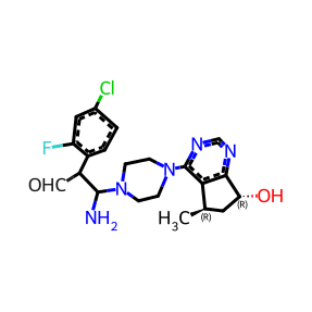 C[C@@H]1C[C@@H](O)c2ncnc(N3CCN(C(N)C(C=O)c4ccc(Cl)cc4F)CC3)c21